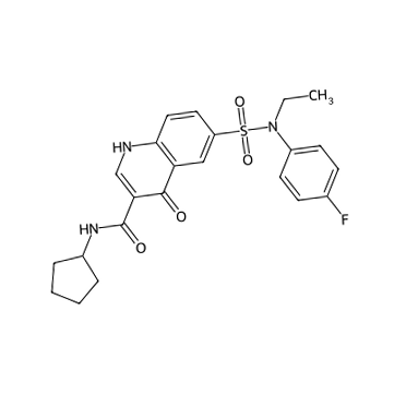 CCN(c1ccc(F)cc1)S(=O)(=O)c1ccc2[nH]cc(C(=O)NC3CCCC3)c(=O)c2c1